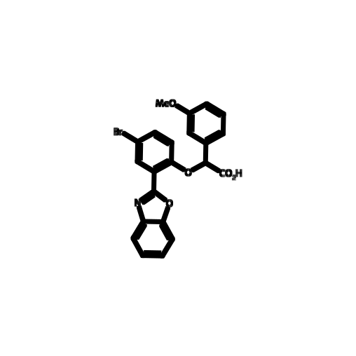 COc1cccc(C(Oc2ccc(Br)cc2-c2nc3ccccc3o2)C(=O)O)c1